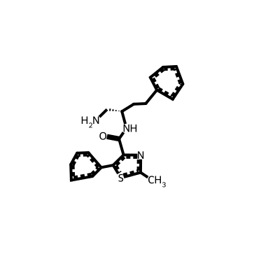 Cc1nc(C(=O)N[C@H](CN)CCc2ccccc2)c(-c2ccccc2)s1